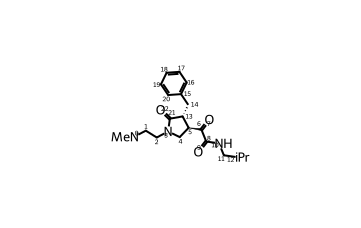 CNCCN1C[C@H](C(=O)C(=O)NCC(C)C)[C@@H](Cc2ccccc2)C1=O